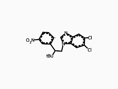 CC(C)(C)C(Cn1cnc2cc(Cl)c(Cl)cc21)c1[c]ccc([N+](=O)[O-])c1